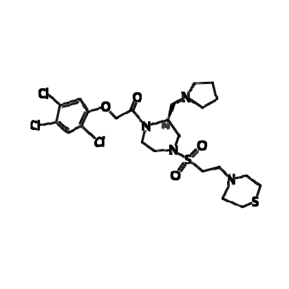 O=C(COc1cc(Cl)c(Cl)cc1Cl)N1CCN(S(=O)(=O)CCN2CCSCC2)C[C@@H]1CN1CCCC1